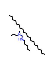 CCCCCCCCCCCCCCCCCCCC.CCCCCNCN(C)CCC